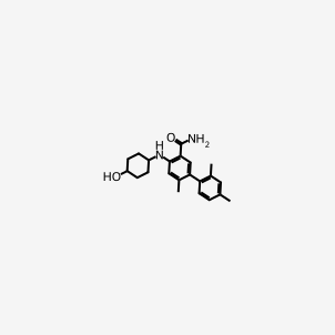 Cc1ccc(-c2cc(C(N)=O)c(NC3CCC(O)CC3)cc2C)c(C)c1